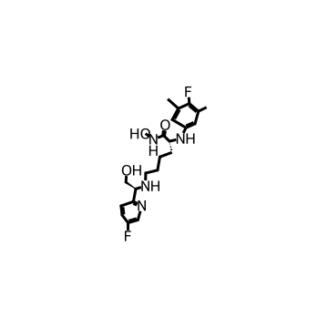 Cc1cc(N[C@H](CCCCN[C@H](CO)c2ccc(F)cn2)C(=O)NO)cc(C)c1F